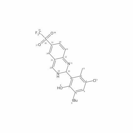 Cc1c(Cl)cc(C(C)(C)C)c(O)c1C1N=c2ccc(S(=O)(=O)C(F)(F)F)cc2=CN1